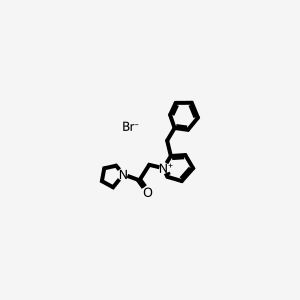 O=C(C[n+]1ccccc1Cc1ccccc1)N1CCCC1.[Br-]